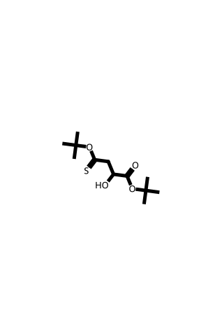 CC(C)(C)OC(=O)C(O)CC(=S)OC(C)(C)C